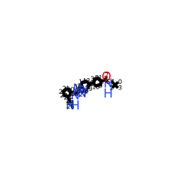 CC(C)(C)CNC(=O)c1ccc(-c2ccc3nc(Nc4ccccc4C#N)nn3c2)cc1